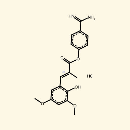 COc1cc(/C=C(\C)C(=O)Oc2ccc(C(=N)N)cc2)c(O)c(OC)c1.Cl